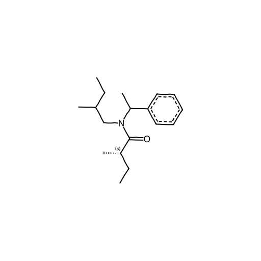 CCC(C)CN(C(=O)[C@@H](C)CC)C(C)c1ccccc1